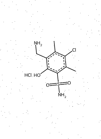 Cc1c(Cl)c(C)c(S(N)(=O)=O)c(O)c1CN.Cl